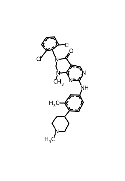 Cc1cc(Nc2ncc3c(n2)N(C)CN(c2c(Cl)cccc2Cl)C3=O)ccc1C1CCN(C)CC1